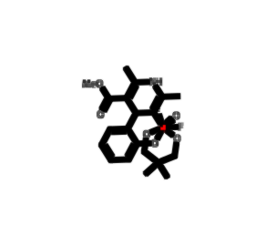 COC(=O)C1=C(C)NC(C)=C(P2(=O)OCC(C)(C)CO2)C1c1ccccc1OC(F)F